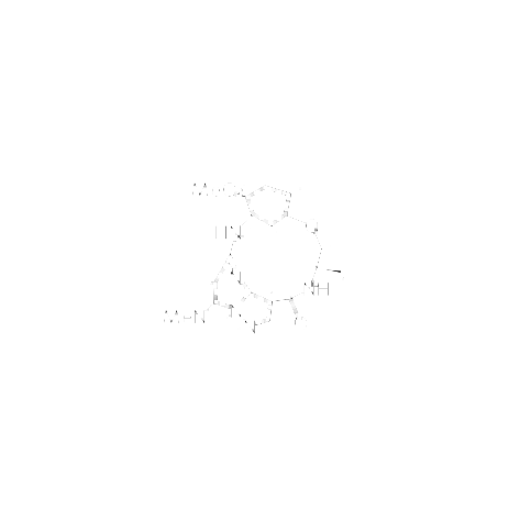 CNc1cc2nc3c(cnn13)C(=O)N[C@H](C)COc1ccc(OC)c(c1)N2